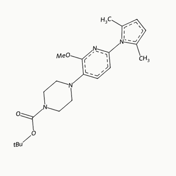 COc1nc(-n2c(C)ccc2C)ccc1N1CCN(C(=O)OC(C)(C)C)CC1